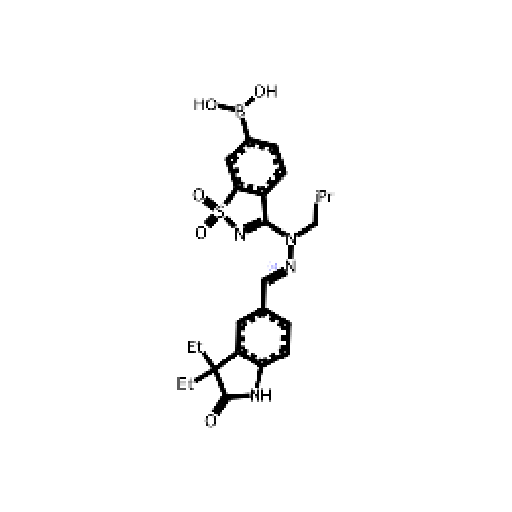 CCC1(CC)C(=O)Nc2ccc(/C=N/N(CC(C)C)C3=NS(=O)(=O)c4cc(B(O)O)ccc43)cc21